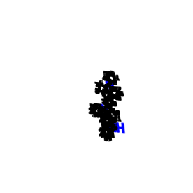 c1ccc(-n2c3ccccc3c3c(-c4ccc5c(c4)c4ccccc4n5-c4ccccc4-c4ccc5[nH]c6ccccc6c5c4)cccc32)cc1